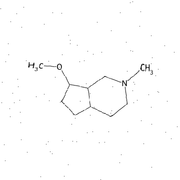 COC1CCC2CCN(C)CC21